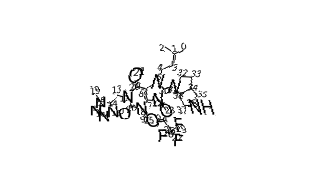 CC(C)=CCN1c2c(n(C)c(=O)n(Cc3nnnn3C)c2=O)N(OC(=O)C(F)(F)F)C1N1CCC2CNCC21